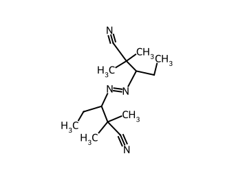 CCC(/N=N/C(CC)C(C)(C)C#N)C(C)(C)C#N